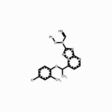 Cc1cc(Cl)ccc1OC(C)c1ccnc2nc(N(C=N)OC(C)C)nn12